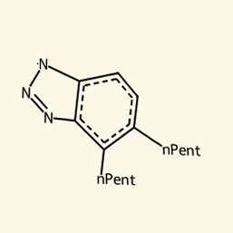 CCCCCc1ccc2c(c1CCCCC)N=N[N]2